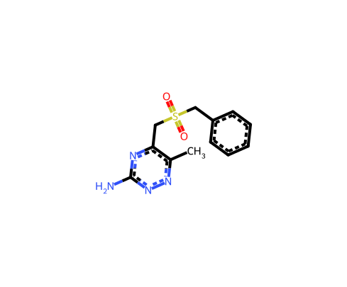 Cc1nnc(N)nc1CS(=O)(=O)Cc1ccccc1